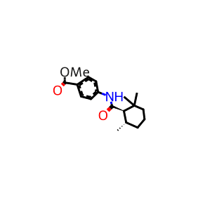 COC(=O)c1ccc(NC(=O)[C@@H]2[C@@H](C)CCCC2(C)C)cc1